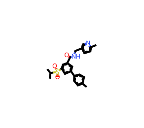 Cc1ccc(-c2cc(C(=O)NCc3ccc(C)nc3)cc(S(=O)(=O)C(C)C)c2)cc1